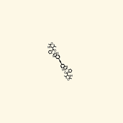 CC(=O)N[C@H](C(=O)N1CCC[C@H]1c1nc2cc(C#Cc3ccc4[nH]c([C@@H]5CCCN5C(=O)[C@@H](NC(C)=O)C(C)C)nc4c3)ccc2[nH]1)C(C)C